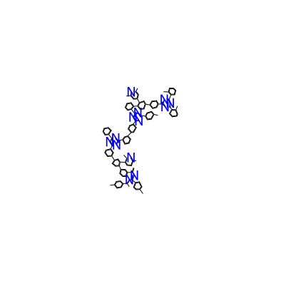 C=C(/N=C(\N=C(/C)c1ccc(C)cc1)c1ccc(C)cc1)c1cccc(-c2ccc(-c3cccc(-c4nc(-c5ccccc5)nc(-c5cccc(-c6ccc(-c7nc(-c8ccc(C)cc8)nc(-c8ccccc8-c8ccc(-c9ccc(-c%10nc(-c%11ccccc%11C)nc(-c%11ccccc%11C)n%10)cc9)cc8-c8cc(C)nc(C)c8)n7)cc6)c5)n4)c3)cc2-c2ccc(C)nc2C)c1